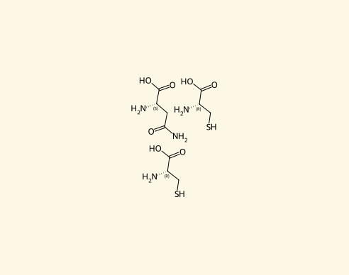 NC(=O)C[C@H](N)C(=O)O.N[C@@H](CS)C(=O)O.N[C@@H](CS)C(=O)O